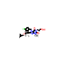 Cn1c(=O)n(CCCO)c(=O)c2c1nc(C#CC(C)(C)OCC1CC1)n2Cc1ccc(Cl)cc1